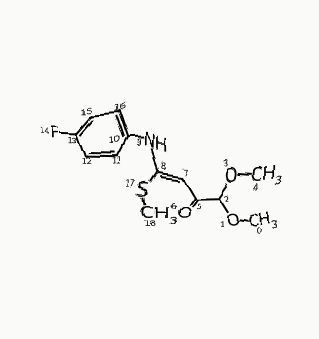 COC(OC)C(=O)C=C(Nc1ccc(F)cc1)SC